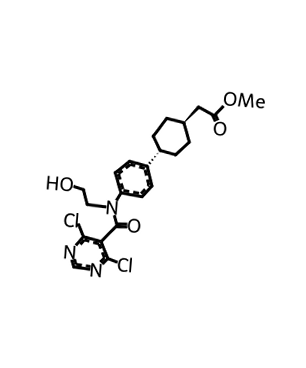 COC(=O)C[C@H]1CC[C@H](c2ccc(N(CCO)C(=O)c3c(Cl)ncnc3Cl)cc2)CC1